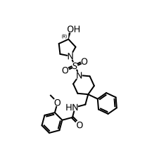 COc1ccccc1C(=O)NCC1(c2ccccc2)CCN(S(=O)(=O)N2CC[C@@H](O)C2)CC1